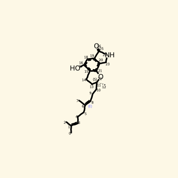 CC(C)=CCC/C(C)=C/CC[C@@]1(C)CCc2c(O)cc3c(c2O1)CNC3=O